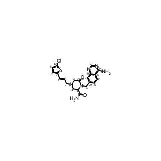 NC(=O)C1CN(CC=Cc2ccc(Cl)s2)CC(=O)N1Cc1ccc2c(N)ncnc2c1